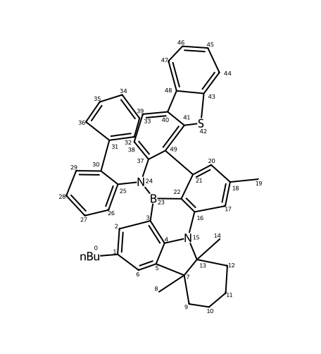 CCCCc1cc2c3c(c1)C1(C)CCCCC1(C)N3c1cc(C)cc3c1B2N(c1ccccc1-c1ccccc1)c1ccc2c(sc4ccccc42)c1-3